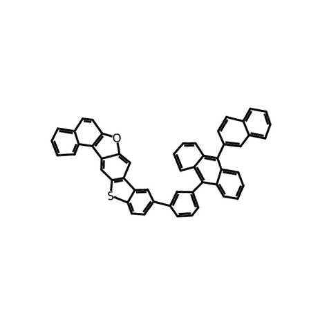 c1cc(-c2ccc3sc4cc5c(cc4c3c2)oc2ccc3ccccc3c25)cc(-c2c3ccccc3c(-c3ccc4ccccc4c3)c3ccccc23)c1